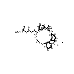 COC(=O)CNCCN1CCCCCc2ccccc2-c2nc(ccc2C(F)(F)F)NS(=O)(=O)c2cccc1n2